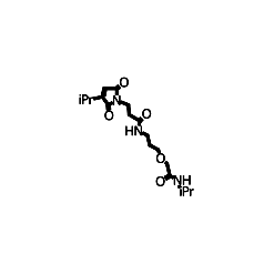 CC(C)NC(=O)COCCCNC(=O)CCN1C(=O)C=C(C(C)C)C1=O